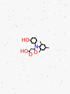 Cc1cc(C)c(N(C(=O)CC(=O)O)c2cccc(O)c2)c(C)c1